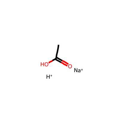 CC(=O)O.[H+].[Na+]